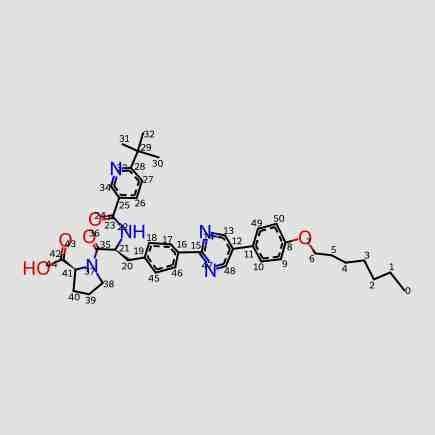 CCCCCCCOc1ccc(-c2cnc(-c3ccc(C[C@H](NC(=O)c4ccc(C(C)(C)C)nc4)C(=O)N4CCC[C@H]4C(=O)O)cc3)nc2)cc1